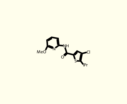 COc1cccc(NC(=O)c2cc(Cl)c(C(C)C)s2)n1